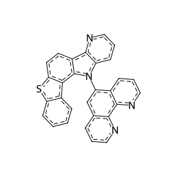 c1cnc2c(c1)cc(-n1c3cccnc3c3ccc4sc5ccccc5c4c31)c1cccnc12